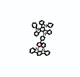 c1ccc(-n2c3ccccc3c3c2c2c4ccccc4n(-c4ccc(-c5ccc(-n6c7ccccc7c7ccc8c9ccccc9n(-c9ccccc9)c8c76)cc5)cc4)c2c2c4ccccc4n(-c4ccccc4)c32)cc1